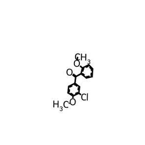 COc1ccc(C(=O)c2ccccc2OC)cc1Cl